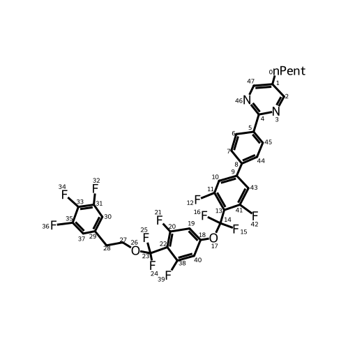 CCCCCc1cnc(-c2ccc(-c3cc(F)c(C(F)(F)Oc4cc(F)c(C(F)(F)OCCc5cc(F)c(F)c(F)c5)c(F)c4)c(F)c3)cc2)nc1